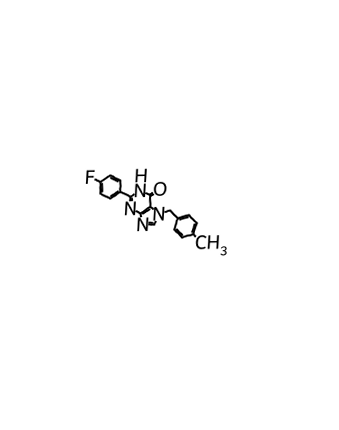 Cc1ccc(Cn2cnc3nc(-c4ccc(F)cc4)[nH]c(=O)c32)cc1